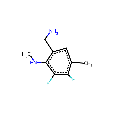 CNc1c(CN)cc(C)c(F)c1F